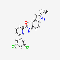 O=C(Nc1ccc2[nH]c(C(=O)O)cc2c1)c1cccc(-c2cc(Cl)cc(Cl)c2)n1